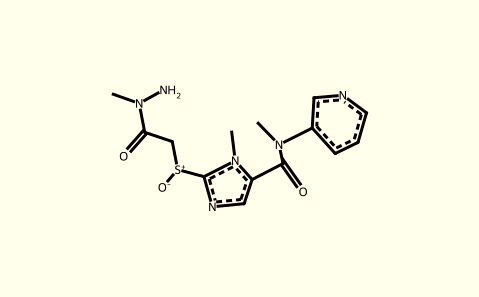 CN(N)C(=O)C[S+]([O-])c1ncc(C(=O)N(C)c2cccnc2)n1C